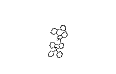 c1ccc(-c2ccccc2-c2sc(-c3cccc4c3-c3ccccc3S4(c3ccccc3)c3ccccc3)c3ccccc23)cc1